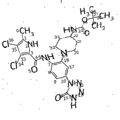 Cc1[nH]c(C(=O)Nc2ccc(-n3nn[nH]c3=O)cc2N2CCC(NC(=O)OC(C)(C)C)CC2)c(Cl)c1Cl